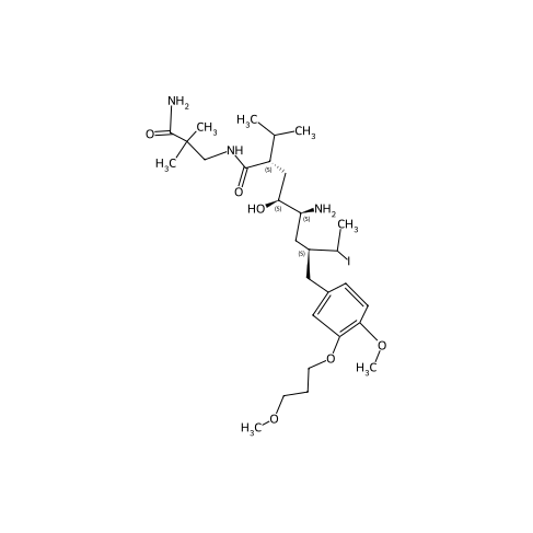 COCCCOc1cc(C[C@@H](C[C@H](N)[C@@H](O)C[C@H](C(=O)NCC(C)(C)C(N)=O)C(C)C)C(C)I)ccc1OC